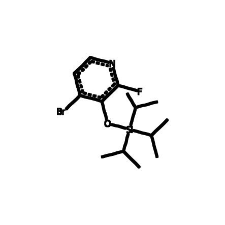 CC(C)[Si](Oc1c(Br)ccnc1F)(C(C)C)C(C)C